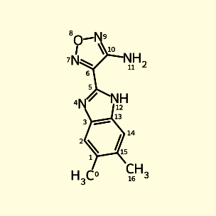 Cc1cc2nc(-c3nonc3N)[nH]c2cc1C